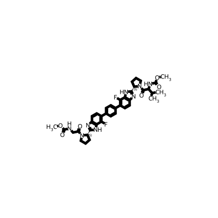 COC(=O)NCC(=O)N1CCC[C@H]1c1nc2ccc(-c3ccc(-c4ccc5nc([C@@H]6CCCN6C(=O)C(NC(=O)OC)C(C)C)[nH]c5c4F)cc3)c(F)c2[nH]1